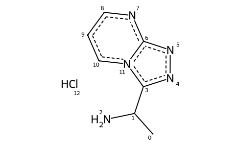 CC(N)c1nnc2ncccn12.Cl